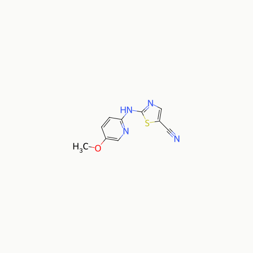 COc1ccc(Nc2ncc(C#N)s2)nc1